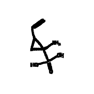 C=CC1CC1(N)P(=O)(O)O